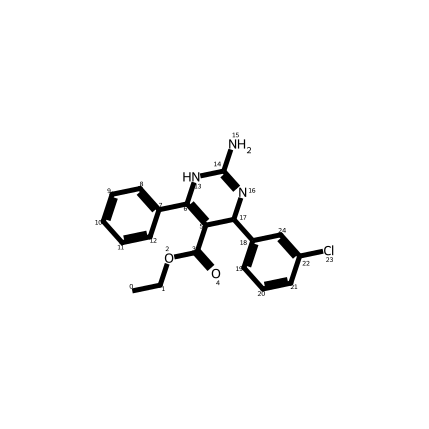 CCOC(=O)C1=C(c2ccccc2)NC(N)=NC1c1cccc(Cl)c1